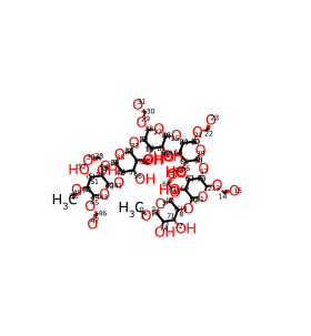 CO[C@@H]1O[C@@H](OC=O)[C@@H](O[C@@H]2OC(OC=O)[C@@H](O[C@@H]3O[C@@H](OC=O)[C@@H](O[C@@H]4OC(OC=O)[C@@H](O[C@@H]5O[C@@H](OC=O)[C@@H](O[C@@H]6OC(OC=O)[C@@H](OC)[C@@H](O)C6O)C(O)C5O)[C@H](O)C4O)C(O)C3O)[C@@H](O)C2O)C(O)C1O